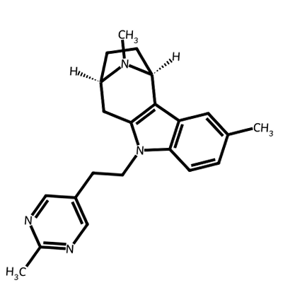 Cc1ccc2c(c1)c1c(n2CCc2cnc(C)nc2)C[C@H]2CC[C@@H]1N2C